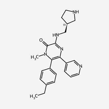 CCc1ccc(-c2c(-c3cccnc3)nc(NC[C@H]3CCNC3)c(=O)n2C)cc1